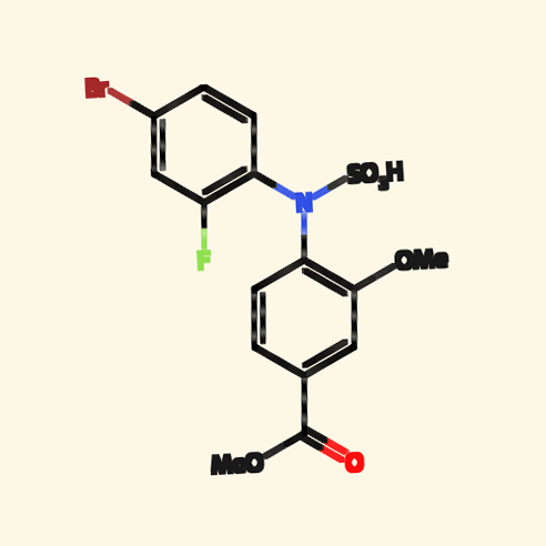 COC(=O)c1ccc(N(c2ccc(Br)cc2F)S(=O)(=O)O)c(OC)c1